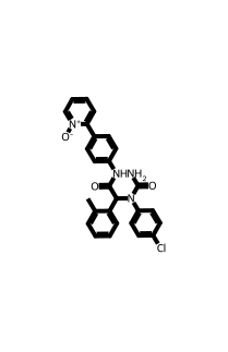 Cc1ccccc1C(C(=O)Nc1ccc(-c2cccc[n+]2[O-])cc1)N(C(N)=O)c1ccc(Cl)cc1